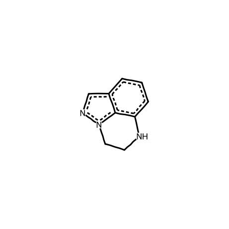 c1cc2c3c(c1)cnn3CCN2